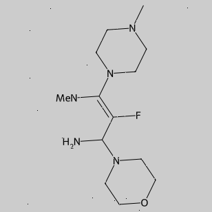 CN/C(=C(/F)C(N)N1CCOCC1)N1CCN(C)CC1